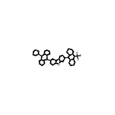 FC(F)(F)c1c2ccccc2c(-c2ccc3c(c2)sc2ccc(-c4c5ccccc5c(-c5ccccc5)c5ccccc45)cc23)c2ccccc12